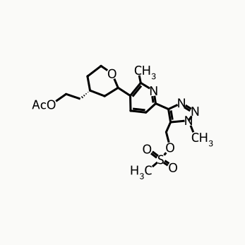 CC(=O)OCC[C@@H]1CCOC(c2ccc(-c3nnn(C)c3COS(C)(=O)=O)nc2C)C1